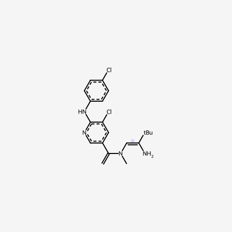 C=C(c1cnc(Nc2ccc(Cl)cc2)c(Cl)c1)N(C)/C=C(\N)C(C)(C)C